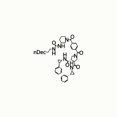 CCCCCCCCCCCCNC(=O)N[C@@H]1CCCN(C(=O)c2ccc(C(=O)N3C[C@@H](C(=O)N[C@H]4C[C@@H]4c4ccccc4)[C@H](C(=O)N[C@H]4C[C@@H]4c4ccccc4)C3)cc2)C1